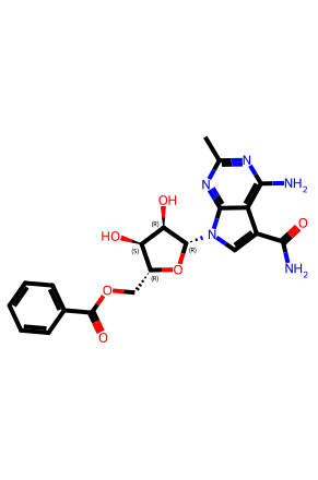 Cc1nc(N)c2c(C(N)=O)cn([C@@H]3O[C@H](COC(=O)c4ccccc4)[C@@H](O)[C@H]3O)c2n1